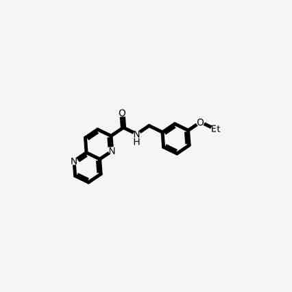 CCOc1cccc(CNC(=O)c2ccc3ncccc3n2)c1